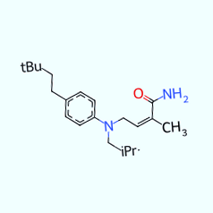 C[C](C)CN(CC=C(C)C(N)=O)c1ccc(CCC(C)(C)C)cc1